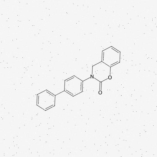 O=C1Oc2ccccc2CN1c1ccc(-c2ccccc2)cc1